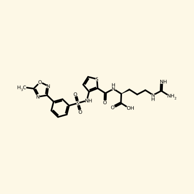 Cc1nc(-c2cccc(S(=O)(=O)Nc3ccsc3C(=O)N[C@@H](CCCNC(=N)N)C(=O)O)c2)no1